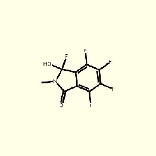 CN1C(=O)c2c(I)c(F)c(F)c(F)c2C1(O)F